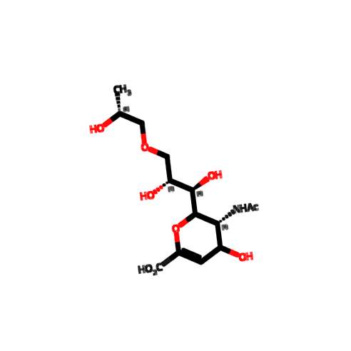 CC(=O)N[C@@H]1C(O)C=C(C(=O)O)OC1[C@H](O)[C@H](O)COC[C@@H](C)O